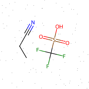 CCC#N.O=S(=O)(O)C(F)(F)F